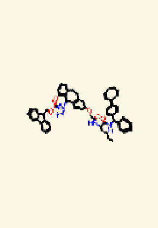 CCCCC(NC(=O)COc1ccc2c(c1)CCc1ccccc1C2NC(=O)OCC1c2ccccc2-c2ccccc21)C(=O)NC(c1ccccc1)c1ccc(C2CCCCCC2)cc1